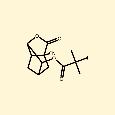 CC(C)(I)C(=O)OC1C2CC3C1OC(=O)C3(C#N)C2